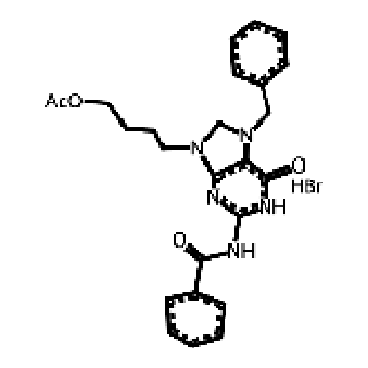 Br.CC(=O)OCCCCN1CN(Cc2ccccc2)c2c1nc(NC(=O)c1ccccc1)[nH]c2=O